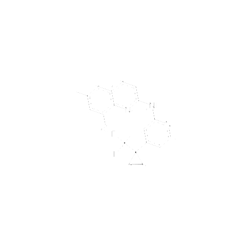 Fc1cc(Cl)c2nc(Nc3cc(C4(C(F)(F)F)CC4)ccn3)ccc2c1